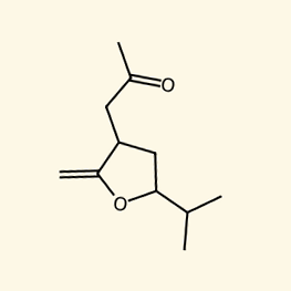 C=C1OC(C(C)C)CC1CC(C)=O